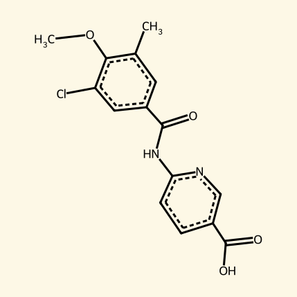 COc1c(C)cc(C(=O)Nc2ccc(C(=O)O)cn2)cc1Cl